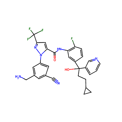 N#Cc1cc(CN)cc(-n2nc(C(F)(F)F)cc2C(=O)Nc2cc(C(O)(CCC3CC3)c3cccnc3)ccc2F)c1